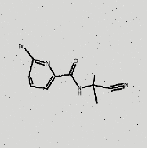 CC(C)(C#N)NC(=O)c1cccc(Br)n1